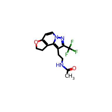 CC(=O)NCCc1c(C(F)(F)F)nn2ccc3c(c12)CCO3